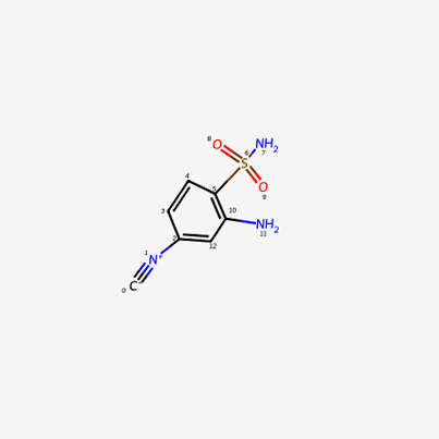 [C-]#[N+]c1ccc(S(N)(=O)=O)c(N)c1